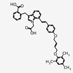 Cc1cc(C)c(OCC=CCOc2ccc(C=Cc3cccc4c(Cc5ccccc5C(=O)O)cn(CC(=O)O)c34)cc2)c(C)c1